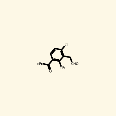 CCCC(=O)c1ccc(Cl)c(CC=O)c1CCC